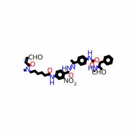 C/C(=N\NC(=O)c1ccc(NC(=O)CCCCCN(C)C(=O)/C=C\C=O)cc1[N+](=O)[O-])c1ccc(NC(=O)OC(c2ccccc2)C(C)NC=O)cc1